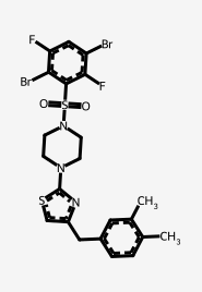 Cc1ccc(Cc2csc(N3CCN(S(=O)(=O)c4c(F)c(Br)cc(F)c4Br)CC3)n2)cc1C